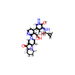 Cc1c(-c2ccnc(N3CCC4=C(C3)C(=O)C3CCCCN43)c2CO)c[nH]c(=O)c1NC(=O)C1CC1